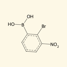 O=[N+]([O-])c1cccc(B(O)O)c1Br